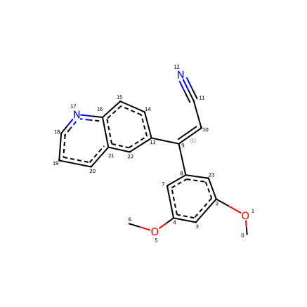 COc1cc(OC)cc(/C(=C/C#N)c2ccc3ncccc3c2)c1